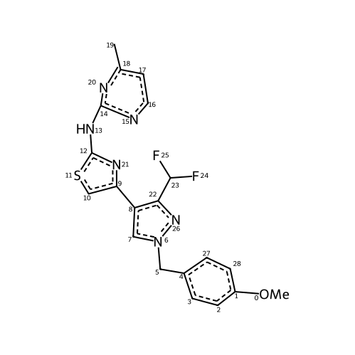 COc1ccc(Cn2cc(-c3csc(Nc4nccc(C)n4)n3)c(C(F)F)n2)cc1